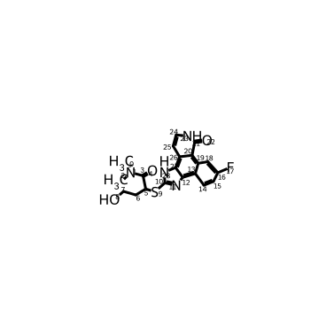 CN(C)C(=O)C(CCO)Sc1nc2c3ccc(F)cc3c3c(=O)[nH]ccc3c2[nH]1